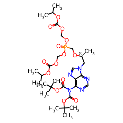 CC(C)OC(=O)OCOP(=O)(CO[C@H](C)Cn1cnc2c(N(C(=O)OC(C)(C)C)C(=O)OC(C)(C)C)ncnc21)OCOC(=O)OC(C)C